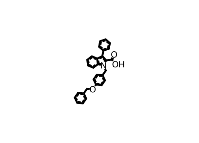 O=C(O)c1c(-c2ccccc2)c2ccccc2n1Cc1ccc(OCc2ccccc2)cc1